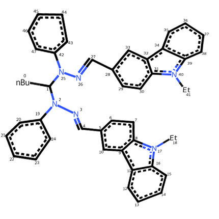 CCCCC(N(/N=C/c1ccc2c(c1)c1ccccc1n2CC)c1ccccc1)N(/N=C/c1ccc2c(c1)c1ccccc1n2CC)c1ccccc1